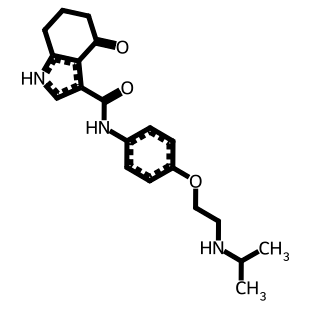 CC(C)NCCOc1ccc(NC(=O)c2c[nH]c3c2C(=O)CCC3)cc1